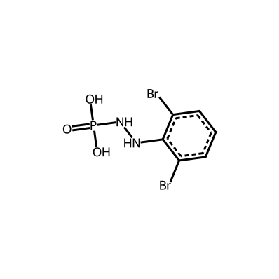 O=P(O)(O)NNc1c(Br)cccc1Br